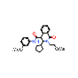 COCCN1C(=O)c2ccccc2C(C(=O)Nc2cccc(OC)c2)C1C1CCCC1